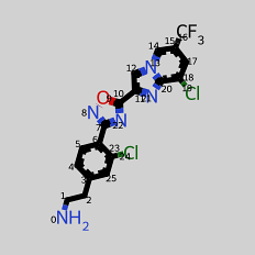 NCCc1ccc(-c2noc(-c3cn4cc(C(F)(F)F)cc(Cl)c4n3)n2)c(Cl)c1